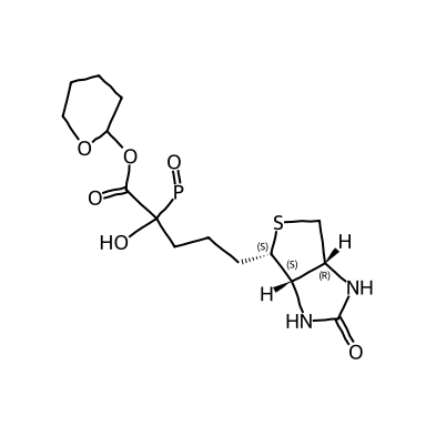 O=PC(O)(CCC[C@@H]1SC[C@@H]2NC(=O)N[C@@H]21)C(=O)OC1CCCCO1